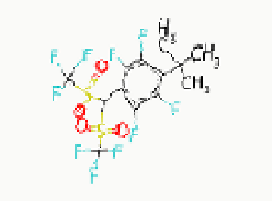 CC(C)(C)c1c(F)c(F)c(C(S(=O)(=O)C(F)(F)F)S(=O)(=O)C(F)(F)F)c(F)c1F